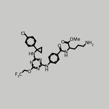 COC(=O)C(CCCN)NC(=O)c1ccc(Nc2nc(NC3(c4ccc(Cl)cc4)CC3)nc(OCC(F)(F)F)n2)cc1